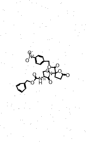 O=C1CCC(C(=O)OCc2ccc([N+](=O)[O-])cc2)(N2OC[C@H](NC(=O)OCc3ccccc3)C2=O)O1